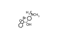 CN(C)c1ccc(C(O)c2c(Br)oc3ccccc23)cc1